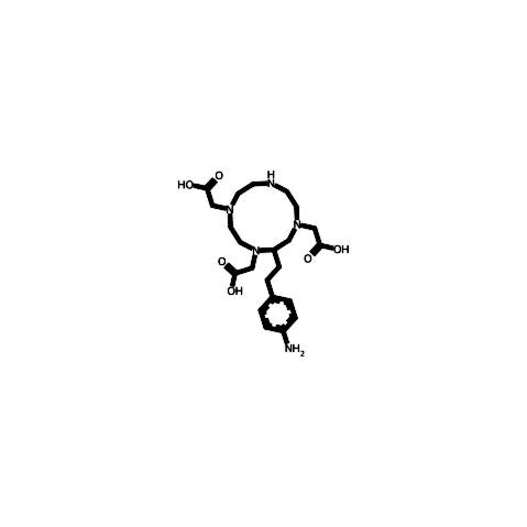 Nc1ccc(CCC2CN(CC(=O)O)CCNCCN(CC(=O)O)CCN2CC(=O)O)cc1